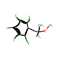 CC(C)(O[SiH3])c1c(F)c(F)c(F)c(F)c1F